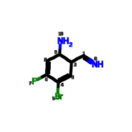 N=CC1C=C(Br)C(F)=CC1N